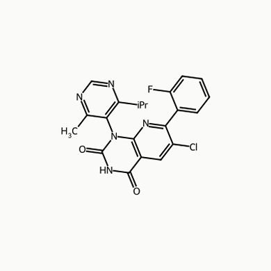 Cc1ncnc(C(C)C)c1-n1c(=O)[nH]c(=O)c2cc(Cl)c(-c3ccccc3F)nc21